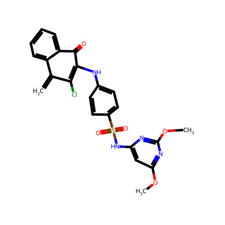 C=C1C(Cl)=C(Nc2ccc(S(=O)(=O)Nc3cc(OC)nc(OC)n3)cc2)C(=O)c2ccccc21